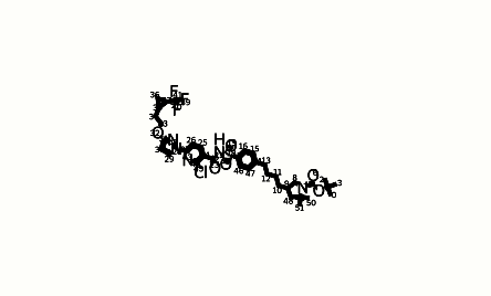 CC(C)(C)OC(=O)N1CC(CCCCc2ccc(S(=O)(=O)NC(=O)c3ccc(-n4ccc(OCCC5CC5C(F)(F)F)n4)nc3Cl)cc2)CC1(C)C